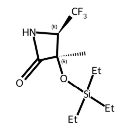 CC[Si](CC)(CC)O[C@@]1(C)C(=O)N[C@H]1C(F)(F)F